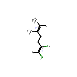 C/C(F)=C(/F)CC/C(=C(\C)C(F)(F)F)C(F)(F)F